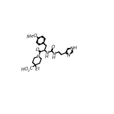 CCC1(C(=O)O)CCN(C(=O)C(Cc2ccc(OC)cc2)NC(=O)NCCc2c[nH]cn2)CC1